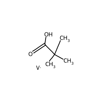 CC(C)(C)C(=O)O.[V]